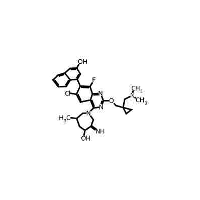 CC1CC(O)C(=N)CN(c2nc(OCC3(CN(C)C)CC3)nc3c(F)c(-c4cc(O)cc5ccccc45)c(Cl)cc23)C1